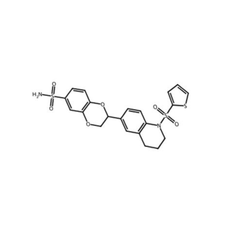 NS(=O)(=O)c1ccc2c(c1)OCC(c1ccc3c(c1)CCCN3S(=O)(=O)c1cccs1)O2